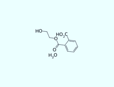 O.O=C(O)c1ccccc1C(=O)OCCO